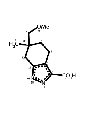 COC[C@]1(C)CCc2c(C(=O)O)n[nH]c2C1